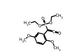 CCOP(=O)(OCC)C(=C=O)c1cc(OC)ccc1OC